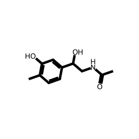 CC(=O)NCC(O)c1ccc(C)c(O)c1